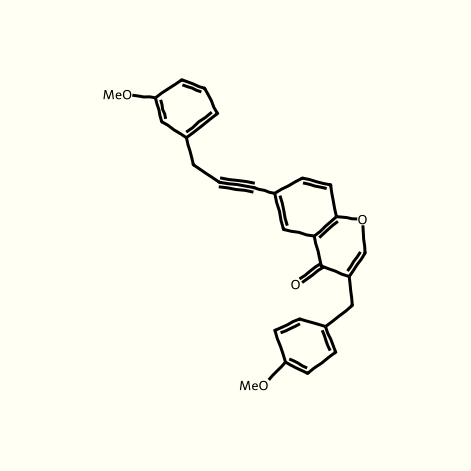 COc1ccc(Cc2coc3ccc(C#CCc4cccc(OC)c4)cc3c2=O)cc1